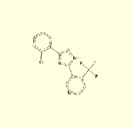 Cn1nc(-c2ccccc2Cl)nc1-c1cnccc1C(F)(F)F